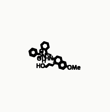 COc1ccc2c(c1)CC[C@H](NC[C@H](NS(=O)(=O)c1ccccc1)C1CCCCC1)[C@@H]2CCCO